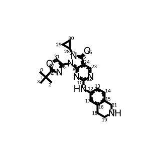 CC(C)(C)c1nc(-n2c3nc(Nc4ccc5c(c4)CCNC5)ncc3c(=O)n2C2CC2)co1